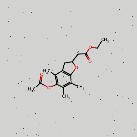 CCOC(=O)CC1Cc2c(C)c(OC(C)=O)c(C)c(C)c2O1